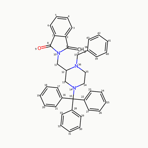 C=C1c2ccccc2C(=O)N1CC1CN(C(c2ccccc2)(c2ccccc2)c2ccccc2)CCN1Cc1ccccc1